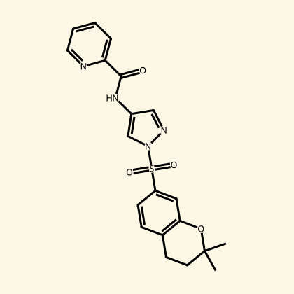 CC1(C)CCc2ccc(S(=O)(=O)n3cc(NC(=O)c4ccccn4)cn3)cc2O1